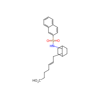 O=C(O)CCCC=CCC1C2CCC(CC2)C1NS(=O)(=O)c1ccc2ccccc2c1